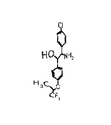 CC(Oc1ccc(C(O)C(N)c2ccc(Cl)cc2)cc1)C(F)(F)F